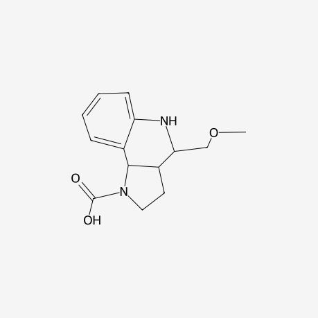 COCC1Nc2ccccc2C2C1CCN2C(=O)O